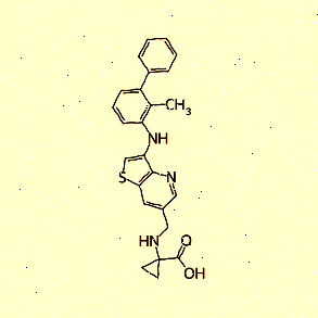 Cc1c(Nc2csc3cc(CNC4(C(=O)O)CC4)cnc23)cccc1-c1ccccc1